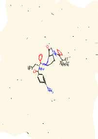 CCC(NC(C)=O)C(=O)N1CC(=O)C2C1CCN2C(=O)C(CC(C)C)NC(=O)c1ccc(N)cc1